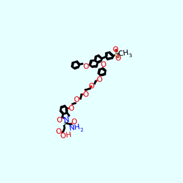 CS(=O)(=O)c1ccc(-c2ccc3cc(OCc4ccccc4)ccc3c2Oc2ccc(OCCOCCOCCOCCOc3cccc4c3CN([C@@H](CCC(=O)O)C(N)=O)C4=O)cc2)cc1